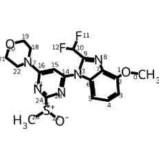 COc1cccc2c1nc(C(F)F)n2-c1cc(N2CCOCC2)nc([S+](C)[O-])n1